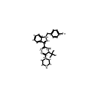 CC(C)(C)[C@H](NC(=O)c1nn(Cc2ccc(F)cc2)c2ccccc12)C(=O)N1CCOCC1